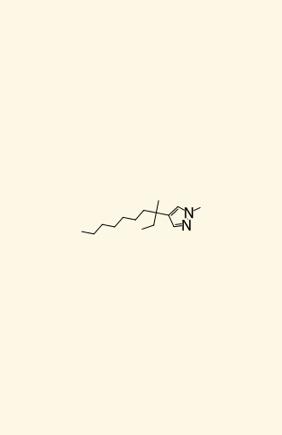 CCCCCCCC(C)(CC)c1cnn(C)c1